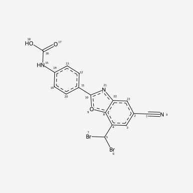 N#Cc1cc(C(Br)Br)c2oc(-c3ccc(NC(=O)O)cc3)nc2c1